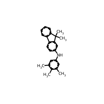 Cc1cc(Nc2ccc3c(c2)C(C)(C)c2ccccc2-3)cc(C)c1C